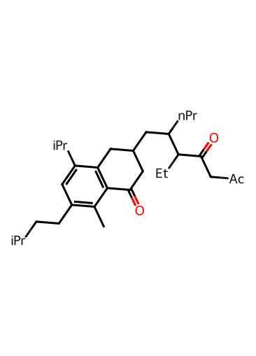 CCCC(CC1CC(=O)c2c(C)c(CCC(C)C)cc(C(C)C)c2C1)C(CC)C(=O)CC(C)=O